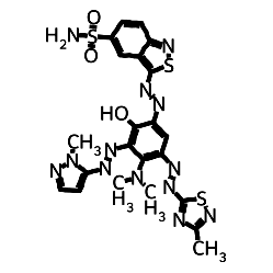 Cc1nsc(/N=N/c2cc(/N=N/c3snc4ccc(S(N)(=O)=O)cc34)c(O)c(/N=N/c3ccnn3C)c2N(C)C)n1